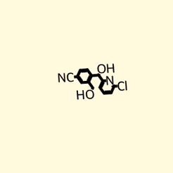 N#Cc1ccc(C(O)c2cccc(Cl)n2)c(CO)c1